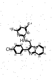 Fc1cc(F)nc(NCc2c(-c3ccc(Cl)cc3)nc3ccccn23)n1